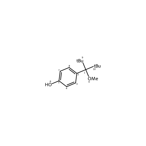 COC(c1ccc(O)cc1)(C(C)(C)C)C(C)(C)C